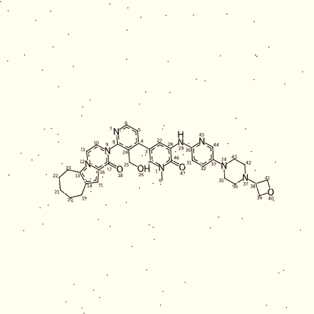 Cn1cc(-c2ccnc(-n3ccn4c5c(cc4c3=O)CCCCC5)c2CO)cc(Nc2ccc(N3CCN(C4COC4)CC3)cn2)c1=O